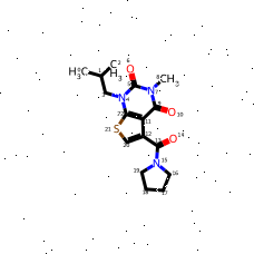 CC(C)Cn1c(=O)n(C)c(=O)c2c(C(=O)N3CCCC3)csc21